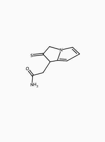 NC(=O)CC1C(=S)Cn2cccc21